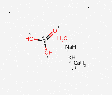 O.O=[Si](O)O.[CaH2].[KH].[NaH]